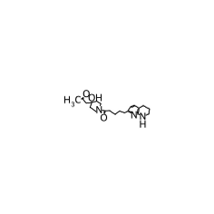 CC(=O)CC1(O)CCN(C(=O)CCCCc2ccc3c(n2)NCCC3)CC1